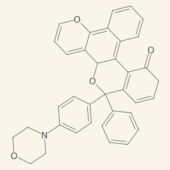 O=C1CC=CC2=C1C1=c3ccccc3=C3OC=CC=C3C1OC2(c1ccccc1)c1ccc(N2CCOCC2)cc1